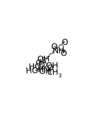 CC(=O)N[C@H]1C([C@H](O)[C@H](O)CO)OC(SCCCCCCNC(=O)[C@@H]2C[C@H](C=O)C[C@H](C=O)C2)(C(=O)O)C[C@@H]1O